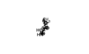 COc1cccc(Sc2cocc2C(=O)C=C(O)c2nc[nH]n2)c1